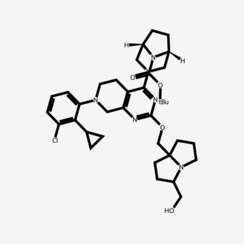 CC(C)(C)OC(=O)N1[C@@H]2CC[C@H]1CN(c1nc(OCC34CCCN3C(CO)CC4)nc3c1CCN(c1cccc(Cl)c1C1CC1)C3)C2